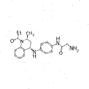 CCC(=O)N1c2ccccc2[C@H](Nc2ccc(NC(=O)CN)cc2)C[C@@H]1C